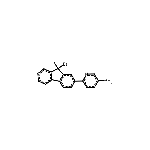 Bc1ccc(-c2ccc3c(c2)C(C)(CC)c2ccccc2-3)nc1